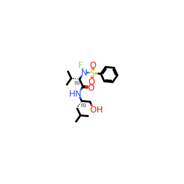 CC(C)C[C@@H](CO)NC(=O)[C@H](C(C)C)N(F)S(=O)(=O)c1ccccc1